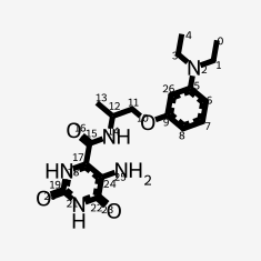 CCN(CC)c1cccc(OCC(C)NC(=O)c2[nH]c(=O)[nH]c(=O)c2N)c1